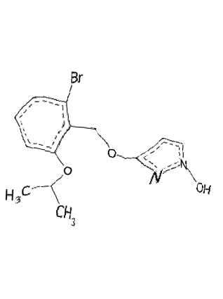 CC(C)Oc1cccc(Br)c1COc1ccn(O)n1